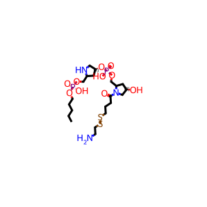 CCCCCOP(=O)(O)OCC1C[C@@H](OP(=O)(O)OCC2C[C@@H](O)CN2C(=O)CCCSSCCN)CN1